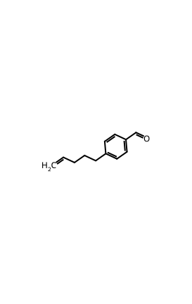 C=CCCCc1ccc(C=O)cc1